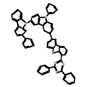 C1=CC(c2ccc3sc4c(-c5nc(-c6ccccc6)nc(-c6ccccc6)n5)cccc4c3c2)Cc2c1n(-c1ccccc1)c1ccc(-n3c4ccccc4c4ccc(-c5ccccc5)cc43)cc21